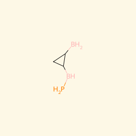 BC1CC1BP